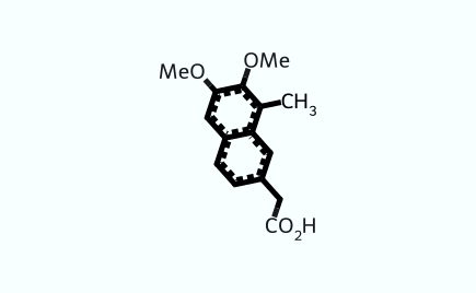 COc1cc2ccc(CC(=O)O)cc2c(C)c1OC